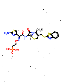 Nc1nc(C(=NOCCP(=O)(O)O)C(=O)NC2C(=O)N3C(C(=O)O)=C(CSc4nc5ccccc5s4)CS[C@@H]23)cs1